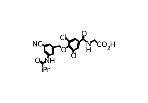 CC(C)C(=O)Nc1cc(C#N)cc(COc2c(Cl)cc(C(=O)NCC(=O)O)cc2Cl)c1